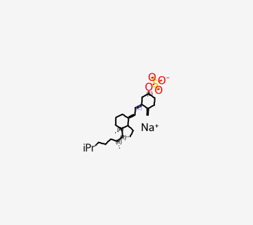 C=C1CC[C@H](OS(=O)(=O)[O-])C/C1=C/C=C1CCC[C@@]2(C)C1CC[C@@H]2[C@H](C)CCCC(C)C.[Na+]